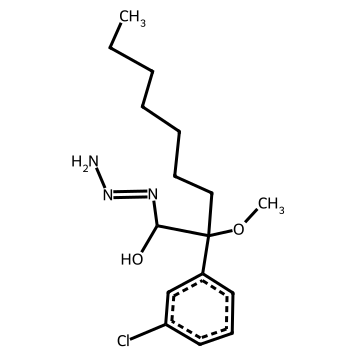 CCCCCCCC(OC)(c1cccc(Cl)c1)C(O)N=NN